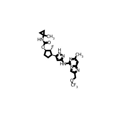 Cc1cc2nc(COC(F)(F)F)cn2c(Nc2cc([C@H]3CC[C@@H](OC(=O)NC4(C)CC4)[C@@H]3F)[nH]n2)n1